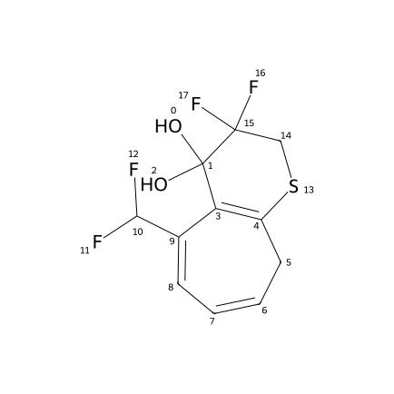 OC1(O)C2=C(CC=CC=C2C(F)F)SCC1(F)F